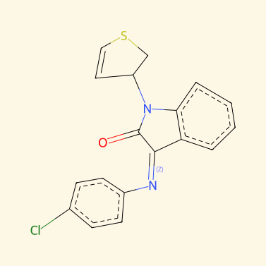 O=C1/C(=N\c2ccc(Cl)cc2)c2ccccc2N1C1C=CSC1